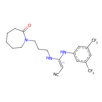 N#C/C=C(\NCCCN1CCCCCC1=O)Nc1cc(C(F)(F)F)cc(C(F)(F)F)c1